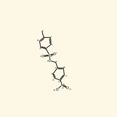 Cc1ccc(S(=O)(=O)OCc2ccc([N+](=O)[O-])cc2)cc1